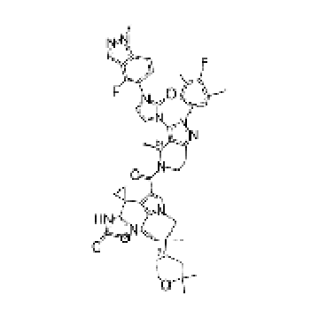 Cc1cc(-n2nc3c(c2-n2ccn(-c4ccc5c(cnn5C)c4F)c2=O)[C@H](C)N(C(=O)c2cn4c(c2C2(c5noc(=O)[nH]5)CC2)C=CC(C)([C@@H]2CCOC(C)(C)C2)C4)CC3)cc(C)c1F